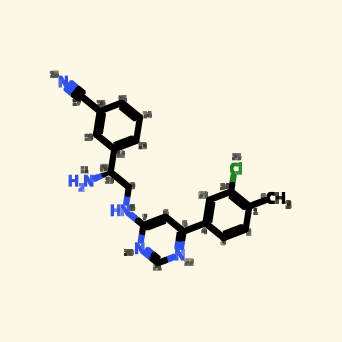 Cc1ccc(-c2cc(NC[C@@H](N)c3cccc(C#N)c3)ncn2)cc1Cl